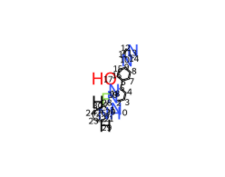 CN(c1ccc(-c2ccc(-n3ccnc3)cc2O)nn1)[C@@H]1C[C@H]2CC[C@H](N2)[C@@H]1F